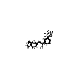 O=S(=O)(O)c1cccc(NCC2COc3cscc3O2)c1